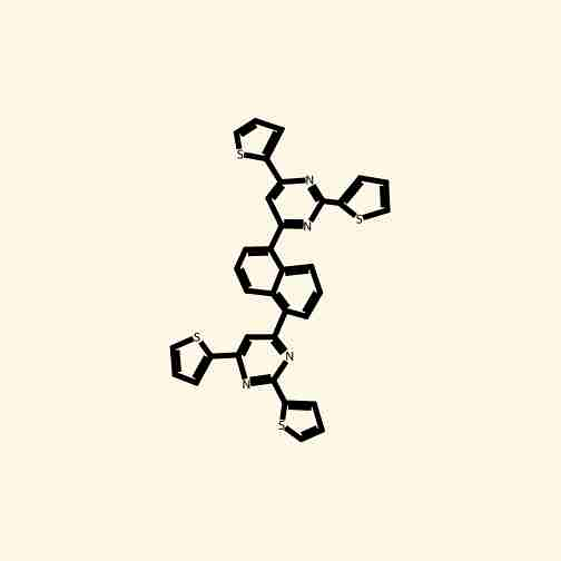 c1csc(-c2cc(-c3cccc4c(-c5cc(-c6cccs6)nc(-c6cccs6)n5)cccc34)nc(-c3cccs3)n2)c1